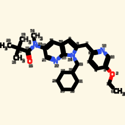 CCOc1ccc(Cc2cc3cc(N(C)C(=O)C(C)(C)C)cnc3n2CC2CCCCC2)nc1